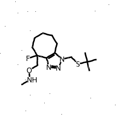 CNOCC1(F)CCCCCc2c1nnn2CSC(C)(C)C